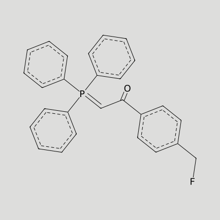 O=C(C=P(c1ccccc1)(c1ccccc1)c1ccccc1)c1ccc(CF)cc1